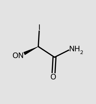 NC(=O)[C@H](I)N=O